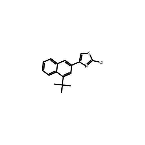 CC(C)(C)c1cc(-c2csc(Cl)n2)cc2ccccc12